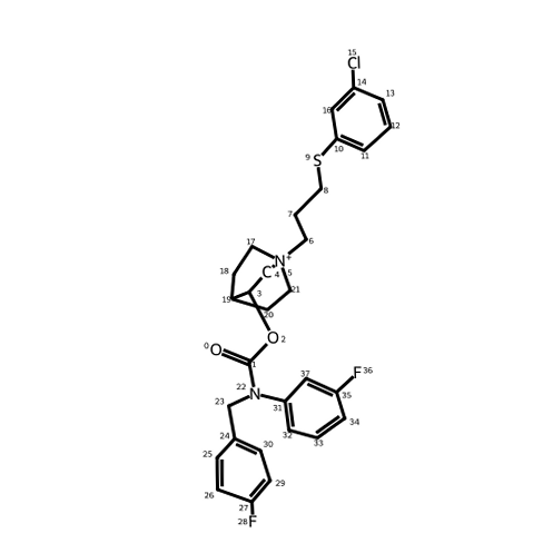 O=C(OC1C[N+]2(CCCSc3cccc(Cl)c3)CCC1CC2)N(Cc1ccc(F)cc1)c1cccc(F)c1